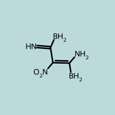 BC(=N)/C(=C(/B)N)[N+](=O)[O-]